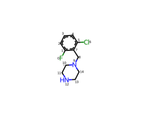 Fc1cccc(Cl)c1CN1[CH]CNCC1